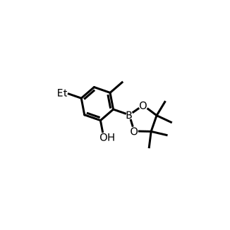 CCc1cc(C)c(B2OC(C)(C)C(C)(C)O2)c(O)c1